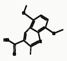 COc1ccc(OC)c2nc(C)c(C(=O)O)cc12